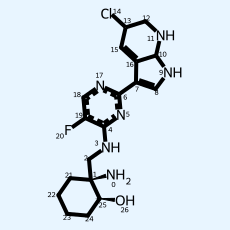 N[C@]1(CNc2nc(C3=CNC4NCC(Cl)C=C34)ncc2F)CCCC[C@@H]1O